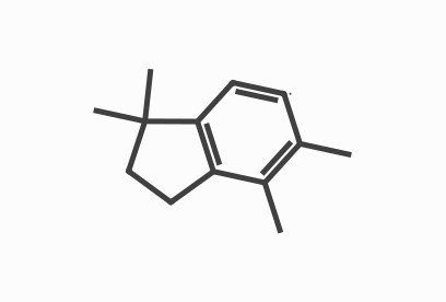 Cc1[c]cc2c(c1C)CCC2(C)C